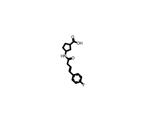 O=C(CC=Cc1ccc(F)cc1)NC1CCC(C(=O)O)C1